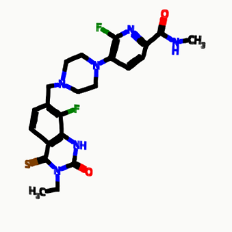 CCn1c(=O)[nH]c2c(F)c(CN3CCN(c4ccc(C(=O)NC)nc4F)CC3)ccc2c1=S